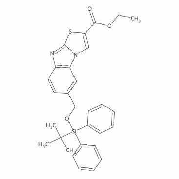 CCOC(=O)c1cn2c(nc3ccc(CO[Si](c4ccccc4)(c4ccccc4)C(C)(C)C)cc32)s1